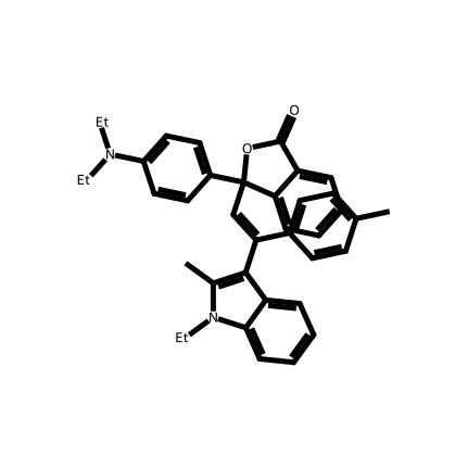 CCN(CC)c1ccc(C2(/C=C(\c3ccc(C)cc3)c3c(C)n(CC)c4ccccc34)OC(=O)c3ccccc32)cc1